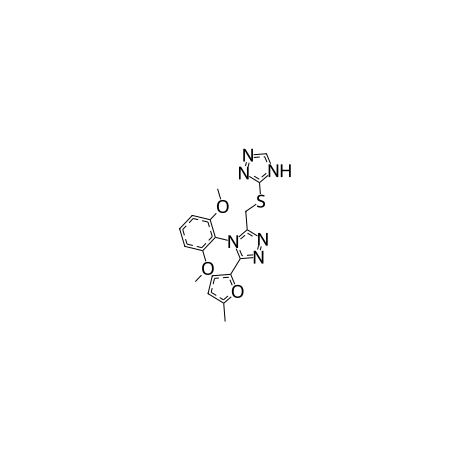 COc1cccc(OC)c1-n1c(CSc2nnc[nH]2)nnc1-c1ccc(C)o1